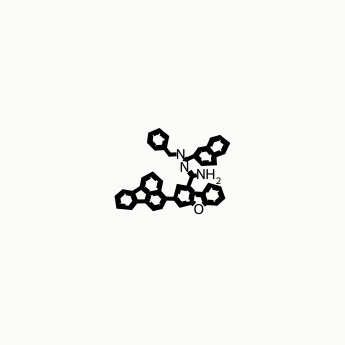 N/C(=N\C(=N/Cc1ccccc1)c1ccc2ccccc2c1)c1cc(-c2ccc3c4c(cccc24)-c2ccccc2-3)cc2oc3ccccc3c12